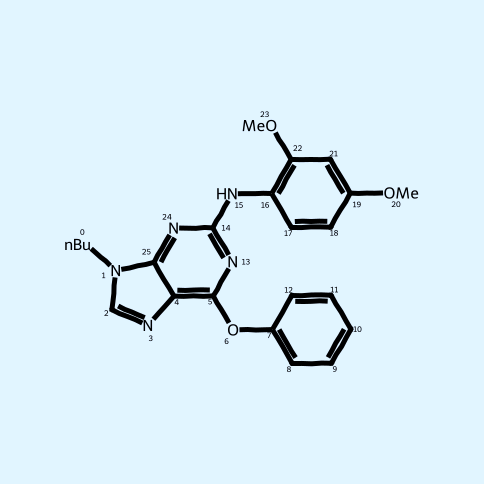 CCCCn1cnc2c(Oc3ccccc3)nc(Nc3ccc(OC)cc3OC)nc21